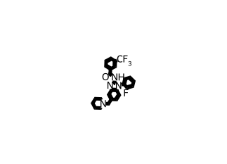 O=C(Nc1nc2cc(CN3CCCCC3)ccc2n1-c1ccccc1F)c1cccc(C(F)(F)F)c1